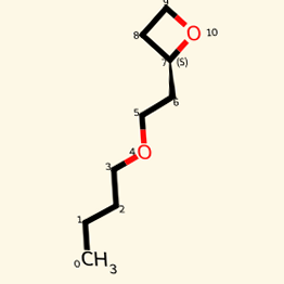 CCCCOCC[C@H]1CCO1